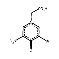 O=C(O)Cn1cc(Br)c(=O)c([N+](=O)[O-])c1